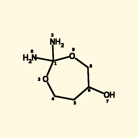 NC1(N)OCCC(O)CO1